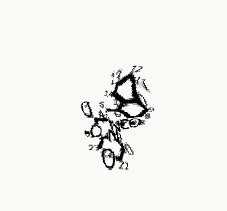 COC(=O)[C@H](Cc1cccc2ccccc12)[N+](=C=O)N1CCOCC1